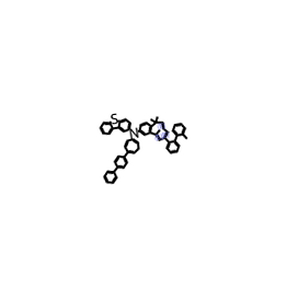 C\C1=C/C(c2ccccc2-c2ccccc2C)=C\C=C\C(C)(C)c2ccc(N(C3=CCC=C(c4ccc(-c5ccccc5)cc4)C=C3)c3ccc4sc5ccccc5c4c3)cc21